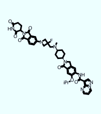 CC(C)Oc1cc2c(cc1NC(=O)c1cnn3cccnc13)CN([C@H]1CC[C@H](N(C)CC3(F)CN(c4ccc5c(c4)C(=O)N(C4CCC(=O)NC4=O)C5=O)C3)CC1)C2=O